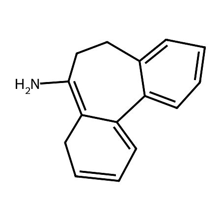 NC1=C2CC=CC=C2c2ccccc2CC1